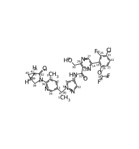 Cc1cc([C@@H](C)n2cc(NC(=O)c3nc(-c4c(OC(F)F)ccc(Cl)c4F)cnc3CO)cn2)cnc1N1C[C@H]2C[C@H]2C1=O